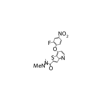 CNN(C)C(=O)c1cc2nccc(Oc3ccc([N+](=O)[O-])cc3F)c2s1